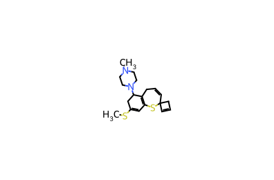 CSC1=CC2=C(CC=CC3(C=CC3)S2)C(N2CCN(C)CC2)C1